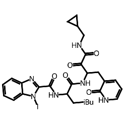 CCC(C)CC(NC(=O)c1nc2ccccc2n1I)C(=O)NC(Cc1ccc[nH]c1=O)C(=O)C(=O)NCC1CC1